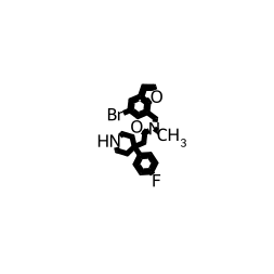 CN(Cc1cc(Br)cc2ccoc12)C(=O)CC1(c2ccc(F)cc2)CCNCC1